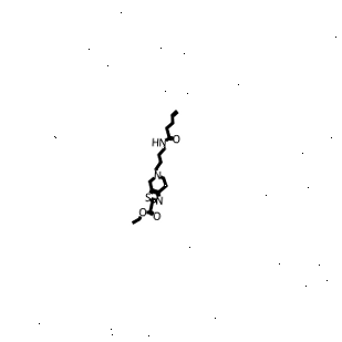 C=CCCC(=O)NCCCCN1CCc2nc(C(=O)OCC)sc2C1